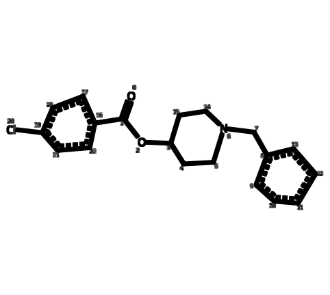 O=C(OC1CCN(Cc2ccccc2)CC1)c1ccc(Cl)cc1